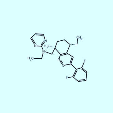 CC[C@H]1CC[C@](C)(CN(CC)c2ncccn2)c2nnc(-c3c(F)cccc3F)cc21